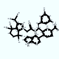 NC(=O)c1ccc(-c2cnc3[nH]ccc3c2)c([C@H](Cc2cc(F)cc(F)c2)NC(=O)Cn2nc(C(F)F)c3c2C(F)(F)CCC3(F)F)n1